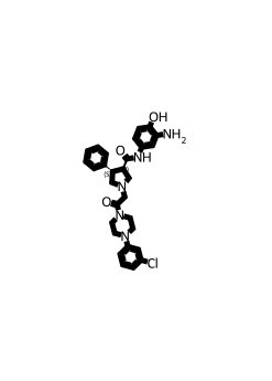 Nc1cc(NC(=O)[C@H]2CN(CC(=O)N3CCN(c4cccc(Cl)c4)CC3)C[C@@H]2c2ccccc2)ccc1O